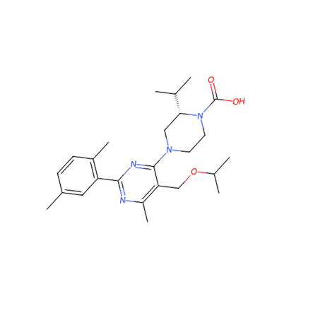 Cc1ccc(C)c(-c2nc(C)c(COC(C)C)c(N3CCN(C(=O)O)[C@@H](C(C)C)C3)n2)c1